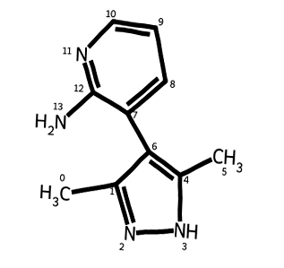 Cc1n[nH]c(C)c1-c1cccnc1N